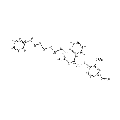 COc1cc(C(=O)O)ccc1CSC(CC(=O)O)c1ncccc1OCCCCCCOc1ccccc1